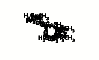 CO[C@]12C[C@@H](C)CN(C)C(C3CN(C(=O)CC(C)(C)CN(C)CC(C)C)C3)COC(=O)C(C)(C)C(=O)[C@H](C)[C@H]1O[C@@H]1O[C@H](C)C[C@H](N(C)C)[C@H]1O2